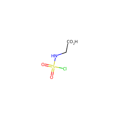 O=C(O)CNS(=O)(=O)Cl